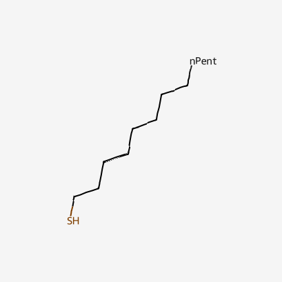 C[CH]CCCCCCCCCCCS